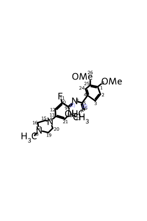 COc1ccc(C(=C/C=O)/N=c2/c(F)cc(N3CCN(C)CC3)cn2C)cc1OC